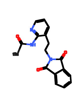 CC(C)(C)C(=O)Nc1ncccc1CCN1C(=O)c2ccccc2C1=O